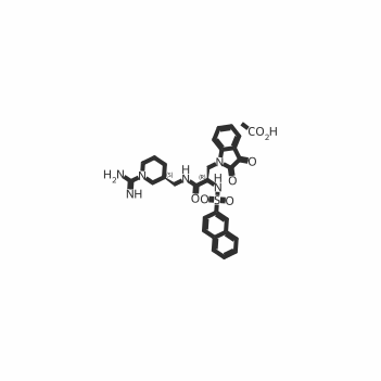 CC(=O)O.N=C(N)N1CCC[C@@H](CNC(=O)[C@@H](CN2C(=O)C(=O)c3ccccc32)NS(=O)(=O)c2ccc3ccccc3c2)C1